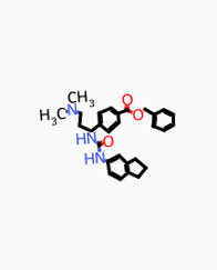 CN(C)CCC(NC(=O)Nc1ccc2c(c1)CCC2)c1ccc(C(=O)OCc2ccccc2)cc1